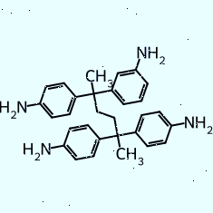 CC(CCC(C)(c1ccc(N)cc1)c1cccc(N)c1)(c1ccc(N)cc1)c1ccc(N)cc1